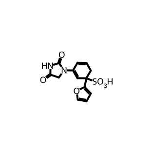 O=C1CN(C2=CC(c3ccco3)(S(=O)(=O)O)CC=C2)C(=O)N1